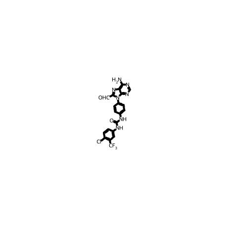 Nc1ncnc2c1nc(C=O)n2-c1ccc(NC(=O)Nc2ccc(Cl)c(C(F)(F)F)c2)cc1